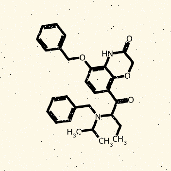 CCC(C(=O)c1ccc(OCc2ccccc2)c2c1OCC(=O)N2)N(Cc1ccccc1)C(C)C